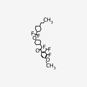 CCCC1CCC(C(F)(F)OC2CCC(CC(=O)c3ccc(OCC)c(F)c3C(F)F)CC2)CC1